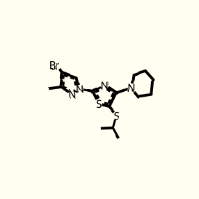 Cc1nn(-c2nc(N3CCCCC3)c(SC(C)C)s2)cc1Br